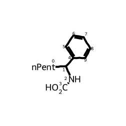 CCCCCC(NC(=O)O)c1ccccc1